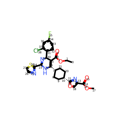 CCOC(=O)C1=C([C@H]2CC[C@@H](c3nc(C(=O)OC)co3)CC2)NC(c2nccs2)=NC1c1ccc(F)cc1Cl